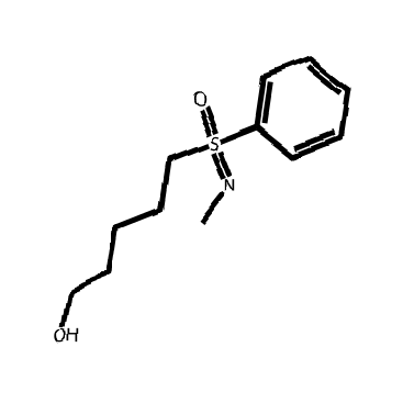 CN=S(=O)(CCCCCO)c1ccccc1